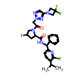 CC(C)c1ccc(C(NC(=O)C2CC(F)CN2C(=O)Cn2ncc(N3CC(F)(F)C3)n2)c2ccccc2)nc1F